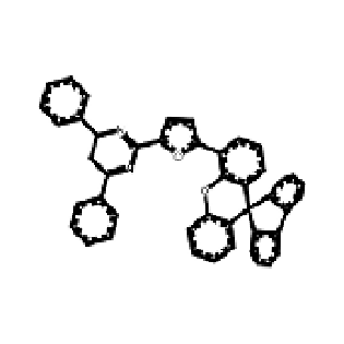 c1ccc(C2=NC(c3ccc(-c4cccc5c4Oc4ccccc4C54c5ccccc5-c5ccccc54)o3)=NC(c3ccccc3)C2)cc1